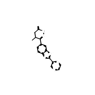 CC1CC(=O)NN=C1c1ccc2[nH]c(-c3cnccn3)nc2c1